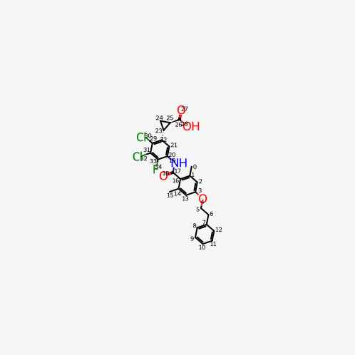 Cc1cc(OCCc2ccccc2)cc(C)c1C(=O)Nc1cc([C@@H]2C[C@H]2C(=O)O)c(Cl)c(Cl)c1F